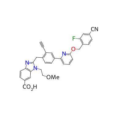 C#Cc1cc(-c2cccc(OCc3ccc(C#N)cc3F)n2)ccc1Cc1nc2ccc(C(=O)O)cc2n1CCOC